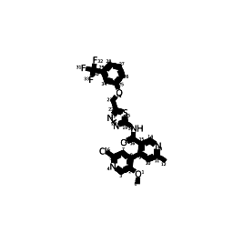 COc1cnc(Cl)cc1-c1cc(C)ncc1C(=O)Nc1nnc(COc2cccc(C(F)(F)F)c2)s1